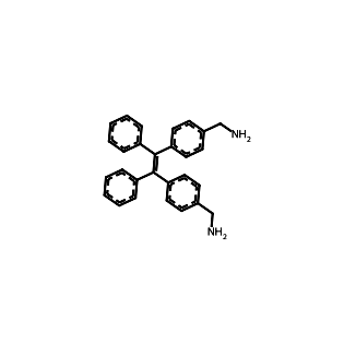 NCc1ccc(C(=C(c2ccccc2)c2ccc(CN)cc2)c2ccccc2)cc1